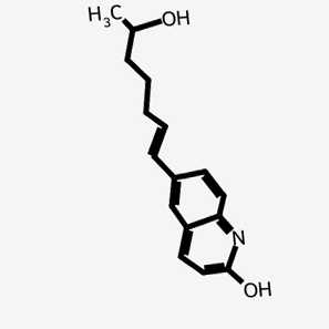 CC(O)CCC/C=C/c1ccc2nc(O)ccc2c1